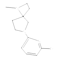 CCc1cccc(N2CCC3(CCN3C)C2)n1